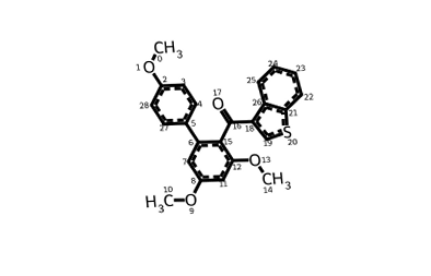 COc1ccc(-c2cc(OC)cc(OC)c2C(=O)c2csc3ccccc23)cc1